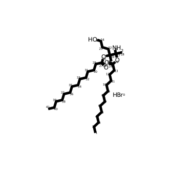 Br.CCCCCCCCCCCCCC(=O)OC(C)(N)C(C)(CCCO)OC(=O)CCCCCCCCCCCCC